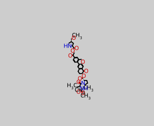 COC[C@@H]1CNC(C(=O)OCC(=O)c2ccc3c(c2)COc2cc4c(cc2-3)CCC(OC(=O)[C@@H]2CC[C@H](C)N2C(=O)[C@@H](NC(=O)OC)C(C)C)C4=O)C1